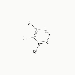 CC(=O)c1cccc(Br)c1Cl